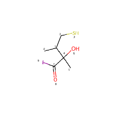 CC(CS)C(C)(O)C(=O)I